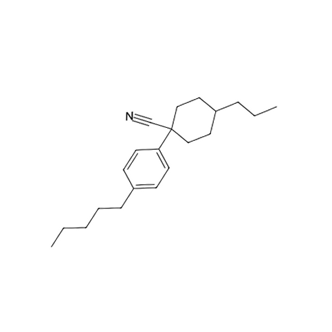 CCCCCc1ccc(C2(C#N)CCC(CCC)CC2)cc1